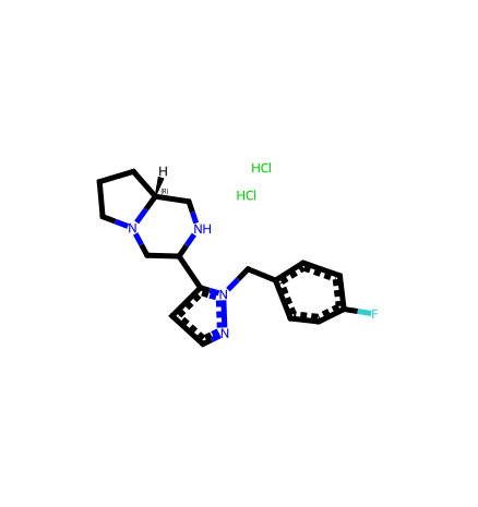 Cl.Cl.Fc1ccc(Cn2nccc2C2CN3CCC[C@@H]3CN2)cc1